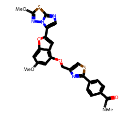 CNC(=O)c1ccc(-c2nc(COc3cc(OC)cc4oc(-c5cnc6sc(OC)nn56)cc34)cs2)cc1